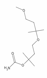 COCCC(C)(C)OCCC(C)(C)OC(N)=O